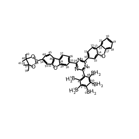 Bc1c(B)c(B)c(-c2nc(-c3ccc4c(c3)oc3ccccc34)nc(-c3ccc4c(c3)oc3cc(B5OC(C)(C)C(C)(C)O5)ccc34)n2)c(B)c1B